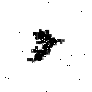 O=C(Cc1c(-c2cc(Oc3c(Cl)ccc(-c4[nH]nc(-c5ccc(C(=O)O)cc5)c4CC(=O)NO)c3F)cc(C(=O)O)c2)n[nH]c1-c1cc(F)c(O)c(Cl)c1)NO